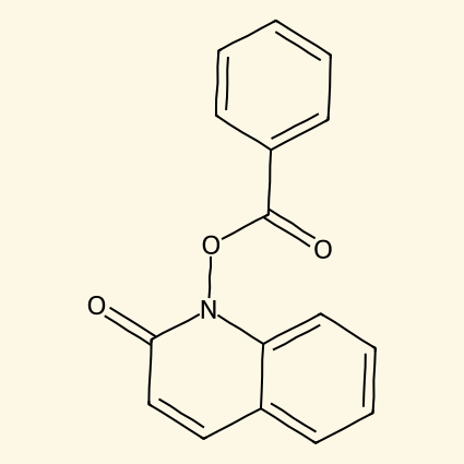 O=C(On1c(=O)ccc2ccccc21)c1ccccc1